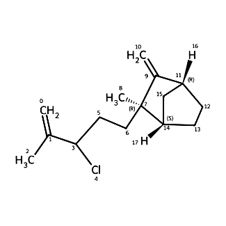 C=C(C)C(Cl)CC[C@@]1(C)C(=C)[C@@H]2CC[C@H]1C2